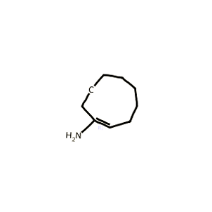 N/C1=C/CCCCCCC1